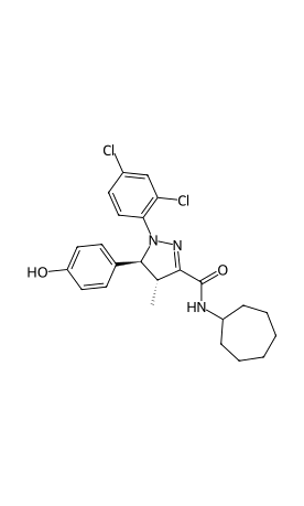 C[C@H]1C(C(=O)NC2CCCCCC2)=NN(c2ccc(Cl)cc2Cl)[C@@H]1c1ccc(O)cc1